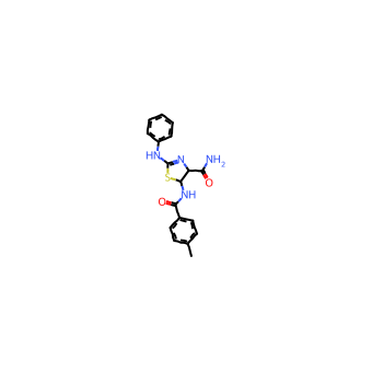 Cc1ccc(C(=O)NC2SC(Nc3ccccc3)=NC2C(N)=O)cc1